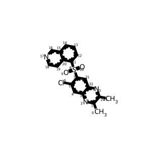 Cc1nc2cc(Cl)c(S(=O)(=O)c3cccc4cnccc34)cc2nc1C